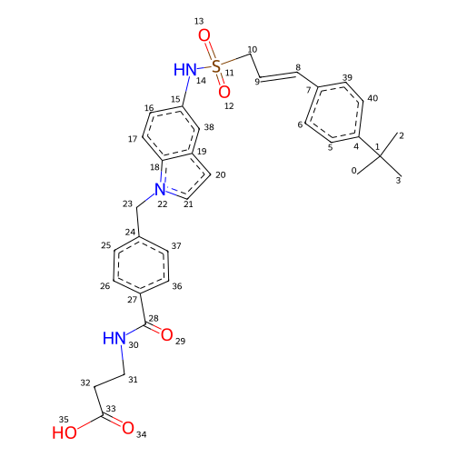 CC(C)(C)c1ccc(C=CCS(=O)(=O)Nc2ccc3c(ccn3Cc3ccc(C(=O)NCCC(=O)O)cc3)c2)cc1